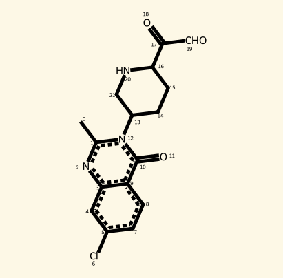 Cc1nc2cc(Cl)ccc2c(=O)n1C1CCC(C(=O)C=O)NC1